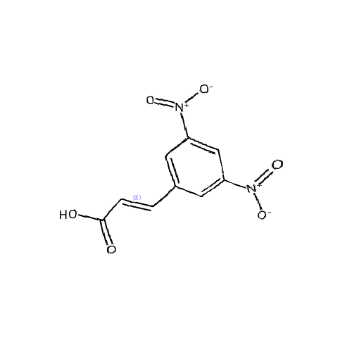 O=C(O)/C=C/c1cc([N+](=O)[O-])cc([N+](=O)[O-])c1